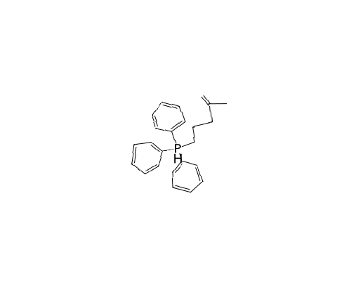 C=C(C)CCC[PH](c1ccccc1)(c1ccccc1)c1ccccc1